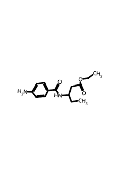 CCOC(=O)CC(CC)NC(=O)c1ccc(N)cc1